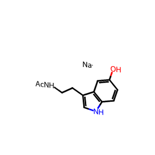 CC(=O)NCCc1c[nH]c2ccc(O)cc12.[Na]